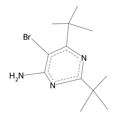 CC(C)(C)c1nc(N)c(Br)c(C(C)(C)C)n1